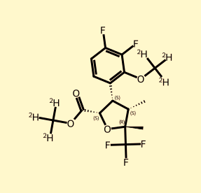 [2H]C([2H])([2H])OC(=O)[C@H]1O[C@@](C)(C(F)(F)F)[C@@H](C)[C@H]1c1ccc(F)c(F)c1OC([2H])([2H])[2H]